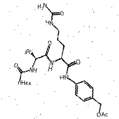 CCCCCCC(=O)N[C@H](C(=O)N[C@@H](CCCNC(N)=O)C(=O)Nc1ccc(COC(C)=O)cc1)C(C)C